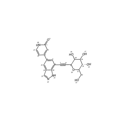 O=c1cc(-c2cc(C#CC3OC(CO)[C@@H](O)C(O)C3O)c3[nH]ncc3c2)cc[nH]1